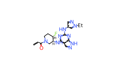 C=CC(=O)N1CC[C@@H](F)[C@@H](Nc2nc(Nc3cnn(CC)c3)nc3[nH]ncc23)C1